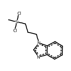 C[Si](Cl)(Cl)CCCn1cnc2ccccc21